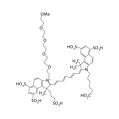 COCCOCCOCCOCCOCC[N+]1=C(/C=C/C=C/C=C/C=C2/N(CCCCCC(=O)O)c3ccc4c(S(=O)(=O)O)cc(S(=O)(=O)O)cc4c3C2(C)C)C(C)(CCCS(=O)(=O)O)c2c1ccc1c(S(=O)(=O)O)cc(S(=O)(=O)O)cc21